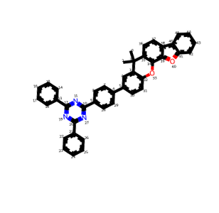 CC1(C)c2cc(-c3ccc(-c4nc(-c5ccccc5)nc(-c5ccccc5)n4)cc3)ccc2Oc2c1ccc1c2oc2ccccc21